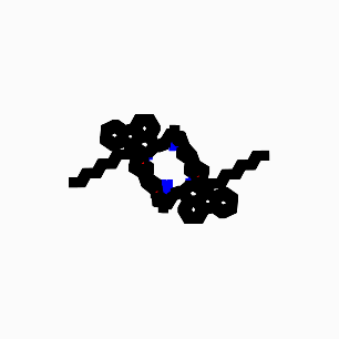 CCCCCCCCC1(CCCCCCCC)c2ccccc2-c2cccc(C3=C4C=CC(=N4)C=C4C=CC(=N4)C(c4cccc5c4C(CCCCCCCC)(CCCCCCCC)c4ccccc4-5)=C4C=CC(=N4)C=C4C=CC3=N4)c21